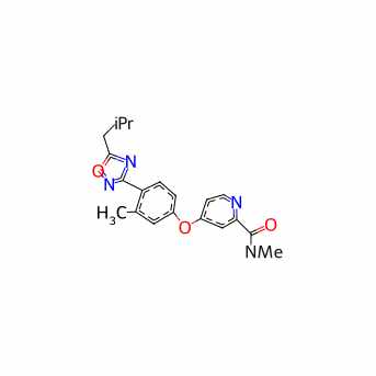 CNC(=O)c1cc(Oc2ccc(-c3noc(CC(C)C)n3)c(C)c2)ccn1